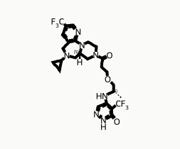 C[C@@H](COCCC(=O)N1CCN2c3ncc(C(F)(F)F)cc3CN(C3CC3)C[C@H]2C1)Nc1cn[nH]c(=O)c1C(F)(F)F